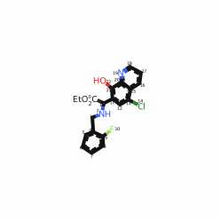 CCOC(=O)C(NCc1ccccc1F)c1cc(Cl)c2cccnc2c1O